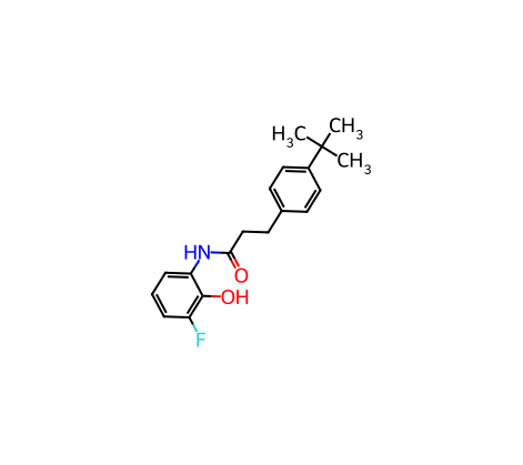 CC(C)(C)c1ccc(CCC(=O)Nc2cccc(F)c2O)cc1